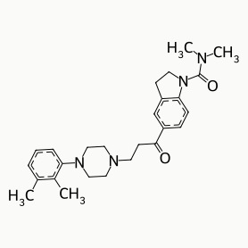 Cc1cccc(N2CCN(CCC(=O)c3ccc4c(c3)CCN4C(=O)N(C)C)CC2)c1C